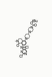 CN1CCc2c(N3CCC(N4CCN(C(=O)OC(C)(C)C)CC4)CC3)ccc(Nc3nc(Cl)ncc3Cl)c2C1=O